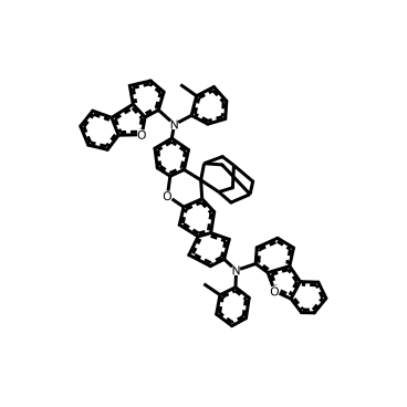 Cc1ccccc1N(c1ccc2c(c1)C1(c3cc4cc(N(c5ccccc5C)c5cccc6c5oc5ccccc56)ccc4cc3O2)C2CC3CC(C2)CC1C3)c1cccc2c1oc1ccccc12